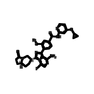 CCOc1cc(C(=O)Nc2cc(OC3CC3)ccn2)ccc1-c1nc([C@@H]2CC[C@H]3CCC(=O)N3C2)n2c(F)cnc(N)c12